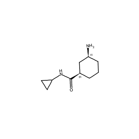 N[C@H]1CCC[C@@H](C(=O)NC2CC2)C1